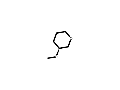 CO[C@H]1CCCOC1